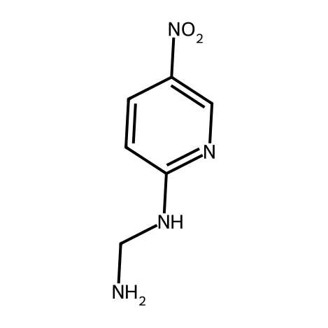 NCNc1ccc([N+](=O)[O-])cn1